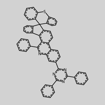 c1ccc(-c2nc(-c3ccccc3)nc(-c3ccc4c(c3)nc(-c3ccccc3)c3c5c(ccc34)C3(c4ccccc4Sc4ccccc43)c3ccccc3-5)n2)cc1